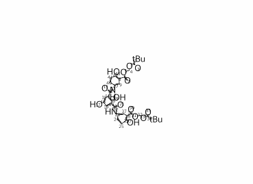 CC(C)(C)C(=O)OCOC(=O)c1cc(NC(=O)c2cc(O)cc(C(=O)Nc3ccc(O)c(C(=O)OCOC(=O)C(C)(C)C)c3)c2O)ccc1O